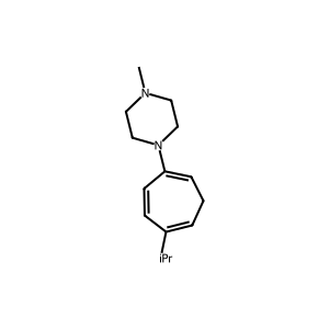 CC(C)C1=CCC=C(N2CCN(C)CC2)C=C1